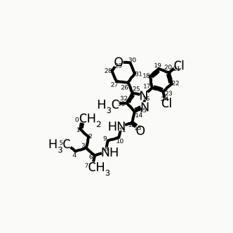 C=CCC(CC)C(C)NCCNC(=O)c1nn(-c2ccc(Cl)cc2Cl)c(C2CCOCC2)c1C